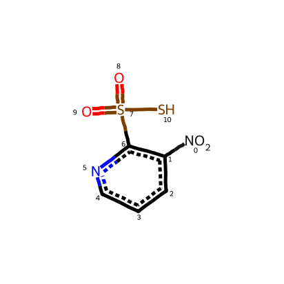 O=[N+]([O-])c1cccnc1S(=O)(=O)S